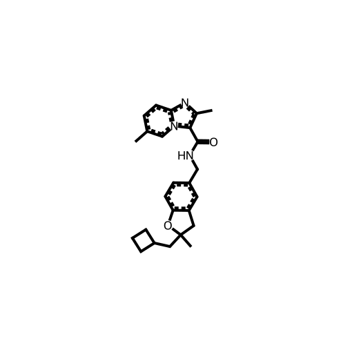 Cc1ccc2nc(C)c(C(=O)NCc3ccc4c(c3)CC(C)(CC3CCC3)O4)n2c1